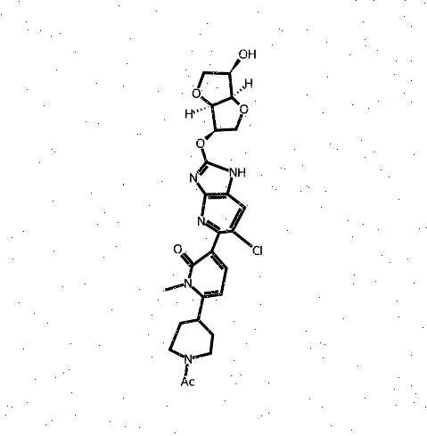 CC(=O)N1CCC(c2ccc(-c3nc4nc(O[C@@H]5CO[C@H]6[C@@H]5OC[C@H]6O)[nH]c4cc3Cl)c(=O)n2C)CC1